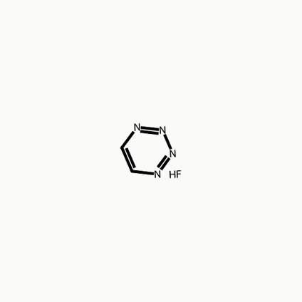 F.c1cnnnn1